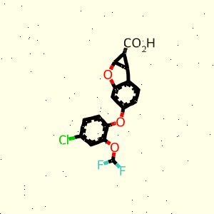 O=C(O)C1C2Oc3cc(Oc4ccc(Cl)cc4OC(F)F)ccc3C21